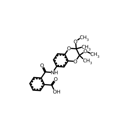 COC1(C)Oc2ccc(NC(=O)c3ccccc3C(=O)O)cc2OC1(C)OC